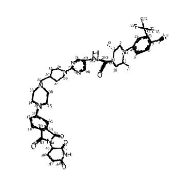 C[C@@H]1CN(c2ccc(C#N)c(C(F)(F)F)c2)[C@@H](C)CN1C(=O)Nc1cnc(N2CCC(CN3CCN(c4ccc5c(c4)C(=O)N([C@@H]4CCC(=O)NC4=O)C5=O)CC3)CC2)nc1